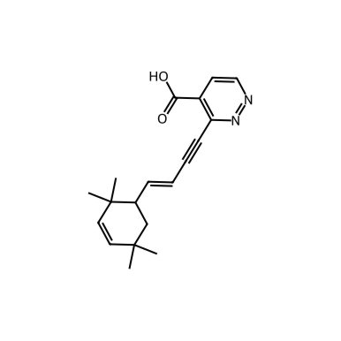 CC1(C)C=CC(C)(C)C(C=CC#Cc2nnccc2C(=O)O)C1